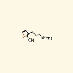 CCCCCCCCc1ccsc1C#N